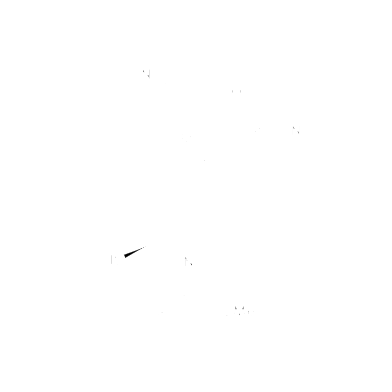 COC(=O)N1C[C@@H](C(=O)CC(=O)N(C)C)C[C@@H]1[SH](=O)=O.O=[N+]([O-])c1ccccc1